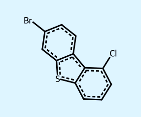 Clc1cccc2sc3cc(Br)ccc3c12